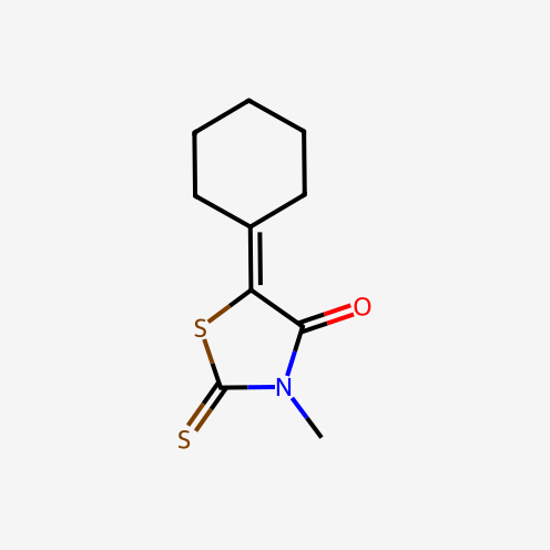 CN1C(=O)C(=C2CCCCC2)SC1=S